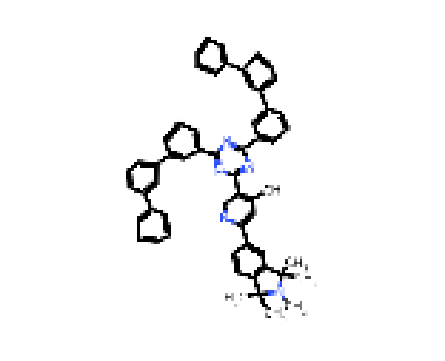 Cc1cc(-c2ccc3c(c2)C(C)(C)N(C)C3(C)C)ncc1-c1nc(-c2cccc(-c3cccc(-c4ccccc4)c3)c2)nc(-c2cccc(-c3cccc(-c4ccccc4)c3)c2)n1